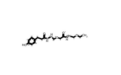 CCOCNNC(=O)COCNNC(=O)CCc1ccc(O)cc1